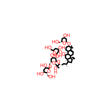 C=C[C@@]12CCC([C@H](C)CC[C@@H](O[C@@H]3O[C@H](CO[C@H]4O[C@H](CO)[C@@H](O)C[C@H]4O)C[C@H](O)C3O[C@@H]3OC(CO)C[C@H](O)[C@H]3O)C(C)(C)O)[C@@]1(C)CC(=O)[C@@]1(C)C3CC[C@H](O[C@H]4C[C@@H](O)C[C@@H](CO)O4)C(C)(C)C3=CCC12